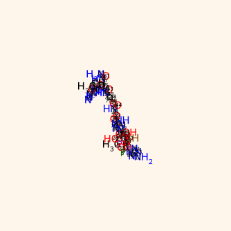 CPO[C@H]1[C@@H](F)[C@H](n2cnc3c(N)ncnc32)O[C@@H]1COP(=O)(S)O[C@@H]1C(CO)O[C@@H](n2cnc3c(NC(=O)OCCNC(=O)OCc4ccc(NC(=O)[C@H](CCCNC(N)=O)NC(=O)[C@@H](NC(=O)CN=[N+]=[N-])C(C)C)cc4)ncnc32)[C@@H]1O